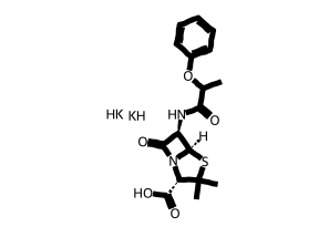 CC(Oc1ccccc1)C(=O)N[C@@H]1C(=O)N2[C@@H]1SC(C)(C)[C@@H]2C(=O)O.[KH].[KH]